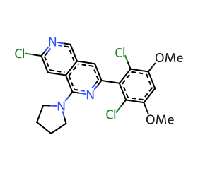 COc1cc(OC)c(Cl)c(-c2cc3cnc(Cl)cc3c(N3CCCC3)n2)c1Cl